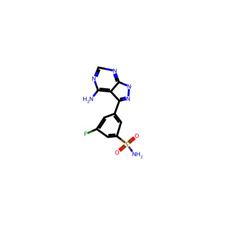 Nc1ncnc2c1C(c1cc(F)cc(S(N)(=O)=O)c1)=N[N]2